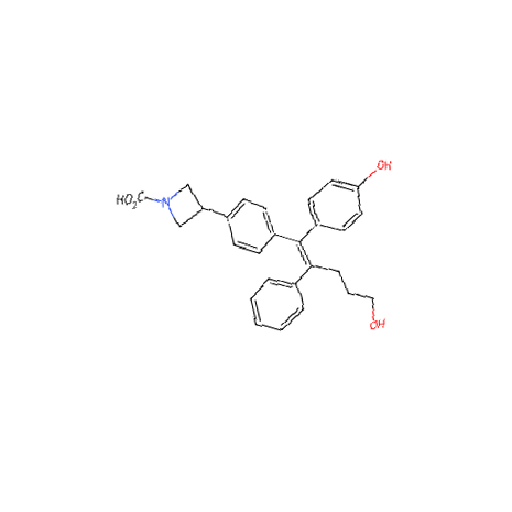 O=C(O)N1CC(c2ccc(C(=C(CCCO)c3ccccc3)c3ccc(O)cc3)cc2)C1